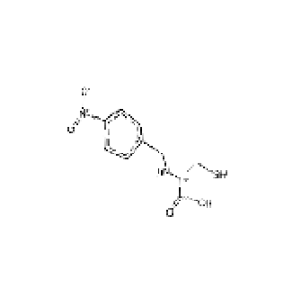 O=C(O)[C@@H](CS)NCc1ccc([N+](=O)[O-])cc1